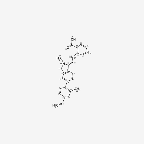 COc1ccc(-c2ccc3c(c2)CN(C)[C@H]3CNc2cnccc2C(=O)O)c(C)c1